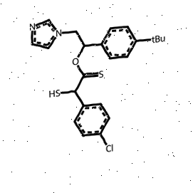 CC(C)(C)c1ccc(C(Cn2ccnc2)OC(=S)C(S)c2ccc(Cl)cc2)cc1